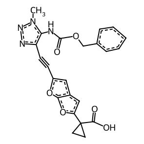 Cn1nnc(C#Cc2cc3cc(C4(C(=O)O)CC4)oc3o2)c1NC(=O)OCc1ccccc1